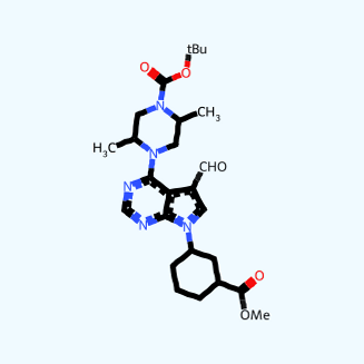 COC(=O)C1CCCC(n2cc(C=O)c3c(N4CC(C)N(C(=O)OC(C)(C)C)CC4C)ncnc32)C1